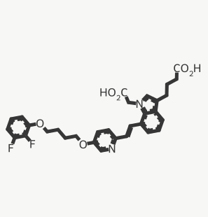 O=C(O)CCCc1cn(CC(=O)O)c2c(C=Cc3ccc(OCCCCOc4cccc(F)c4F)cn3)cccc12